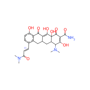 CN(C)C(=O)/C=C/c1ccc(O)c2c1CC1CC3C(N(C)C)C(O)=C(C(N)=O)C(=O)C3(O)C(O)=C1C2=O